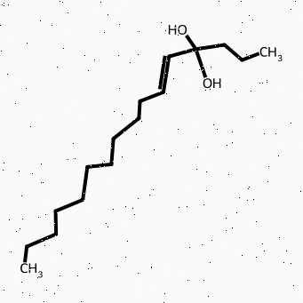 CCCCCCCCCCC=CC(O)(O)CCC